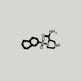 NC(=O)C1CNCCN1S(=O)(=O)c1ccc2ccccc2c1